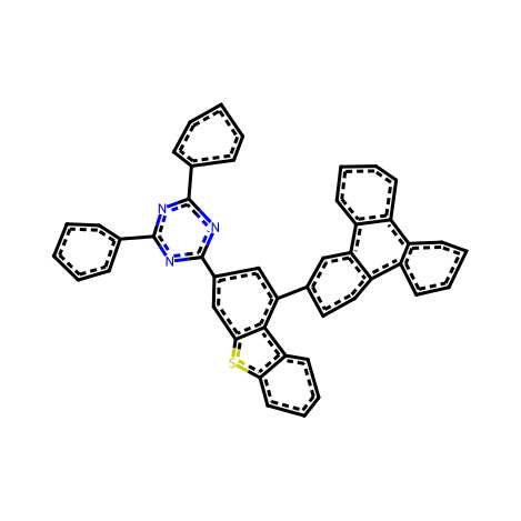 c1ccc(-c2nc(-c3ccccc3)nc(-c3cc(-c4ccc5c6ccccc6c6ccccc6c5c4)c4c(c3)sc3ccccc34)n2)cc1